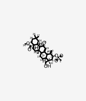 C=C1[C@@H](OS(C)(=O)=O)C[C@](C)(CO)[C@@H]2CC[C@]3(C)C(=CC(=O)[C@@H]4[C@@H]5CC(C)(C)CC[C@]5(C(=O)OC)CC[C@]43C)[C@@]12C